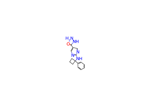 NNC(=O)c1cnc(NC2(c3ccccc3)CCC2)nc1